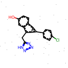 Oc1ccc2c3c(-c4ccc(Cl)cc4)c-3c(Cc3nnn[nH]3)c2c1